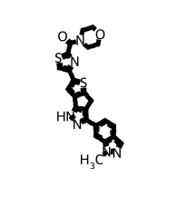 Cn1ncc2ccc(-c3n[nH]c4c3Cc3sc(-c5csc(C(=O)N6CCOCC6)n5)cc3-4)cc21